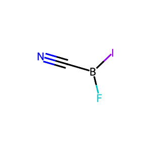 N#CB(F)I